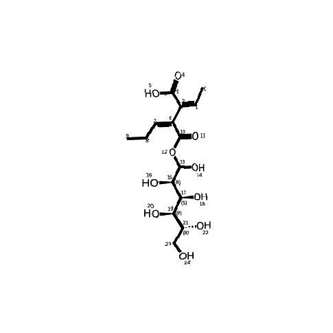 CC=C(C(=O)O)C(=CCC)C(=O)OC(O)[C@H](O)[C@@H](O)[C@H](O)[C@H](O)CO